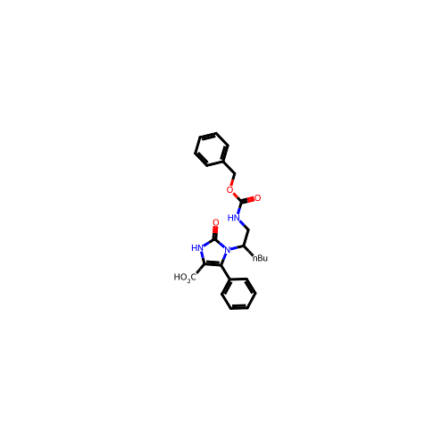 CCCCC(CNC(=O)OCc1ccccc1)n1c(-c2ccccc2)c(C(=O)O)[nH]c1=O